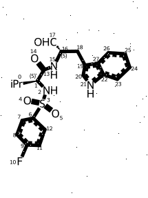 CC(C)[C@H](NS(=O)(=O)c1ccc(F)cc1)C(=O)N[C@H](C=O)Cc1c[nH]c2ccccc12